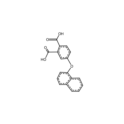 O=C(O)c1ccc(Oc2cccc3ccccc23)cc1C(=O)O